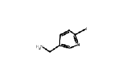 NCc1ccc(I)nc1